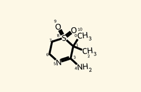 CC1(C)C(N)=NCCS1(=O)=O